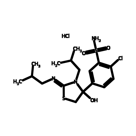 CC(C)CN=C1SCC(O)(c2ccc(Cl)c(S(N)(=O)=O)c2)N1CC(C)C.Cl